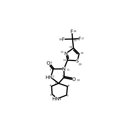 O=C1NC2(CCNCC2)C(=O)N1c1nc(C(F)(F)F)cs1